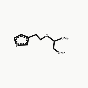 CNCC(OC)OCCc1ccsc1